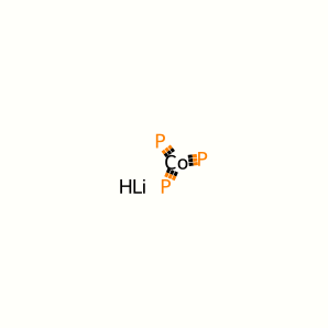 [LiH].[P]#[Co](#[P])#[P]